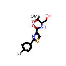 CCc1ccc(-c2nc(C(=O)NC(CO)C(=O)OC)cs2)cc1